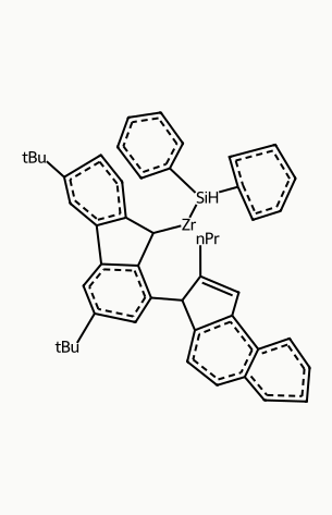 CCCC1=Cc2c(ccc3ccccc23)C1c1cc(C(C)(C)C)cc2c1[CH]([Zr][SiH](c1ccccc1)c1ccccc1)c1ccc(C(C)(C)C)cc1-2